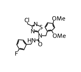 COc1ccc(CN(C(=O)NCc2cccc(F)c2)c2nc(CCl)ns2)c(OC)c1